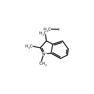 CC1=[N+](C)c2ccccc2C1C.CI